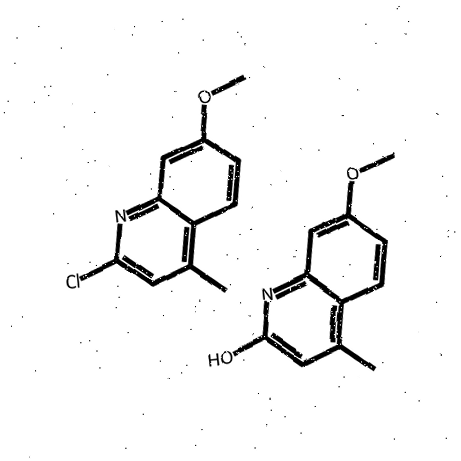 COc1ccc2c(C)cc(Cl)nc2c1.COc1ccc2c(C)cc(O)nc2c1